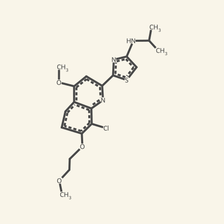 COCCOc1ccc2c(OC)cc(-c3nc(NC(C)C)cs3)nc2c1Cl